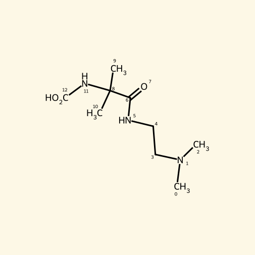 CN(C)CCNC(=O)C(C)(C)NC(=O)O